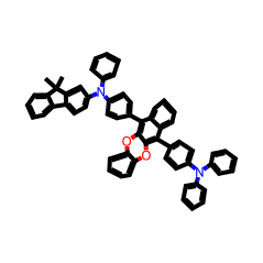 CC1(C)c2ccccc2-c2ccc(N(c3ccccc3)c3ccc(-c4c5c(c(-c6ccc(N(c7ccccc7)c7ccccc7)cc6)c6ccccc46)Oc4ccccc4O5)cc3)cc21